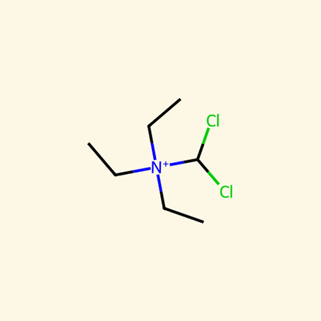 CC[N+](CC)(CC)C(Cl)Cl